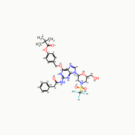 CC(C)(C)C(=O)Oc1ccc(COc2nc(NC(=O)Cc3ccccc3)nc3c2ncn3C2CN(S(=O)(=O)C(F)(F)F)CC(CO)O2)cc1